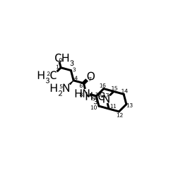 CC(C)C[C@H](N)C(=O)NC1CC2CCCC(C1)N2C